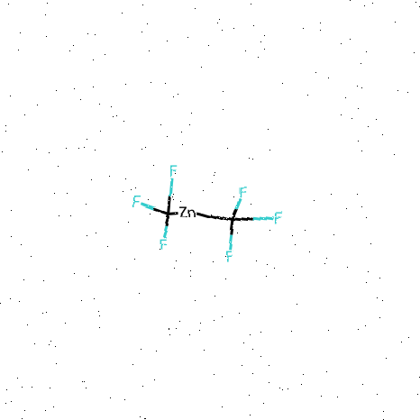 F[C](F)(F)[Zn][C](F)(F)F